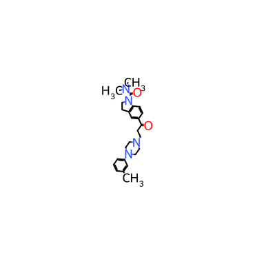 Cc1cccc(N2CCN(CCC(=O)c3ccc4c(c3)CCN4C(=O)N(C)C)CC2)c1